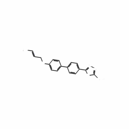 CCCC/C=C/COc1ccc(-c2ccc(-c3nnc(CCCCC)s3)cc2)cc1